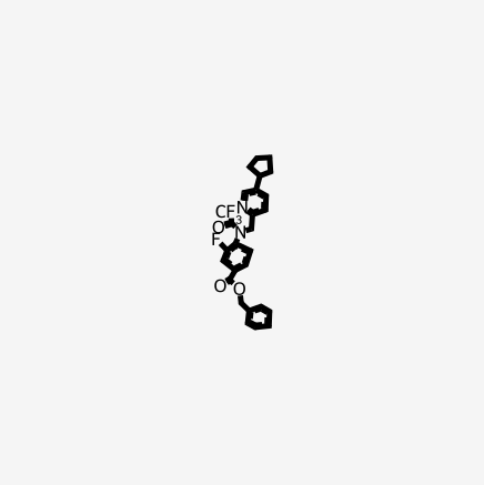 O=C(OCc1ccccc1)c1ccc(N(Cc2ccc(C3CCCC3)cn2)C(=O)C(F)(F)F)c(F)c1